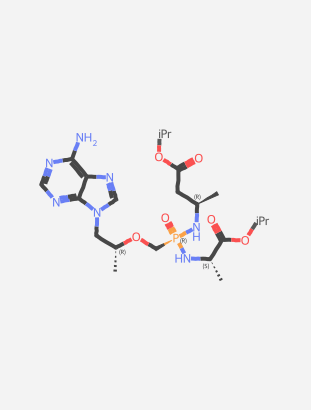 CC(C)OC(=O)C[C@@H](C)N[P@](=O)(CO[C@H](C)Cn1cnc2c(N)ncnc21)N[C@@H](C)C(=O)OC(C)C